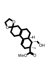 COC(=O)[C@@]1(C)CC=C2C3=C(CC[C@H]2[C@@H]1CO)CC1(CC3)OCCO1